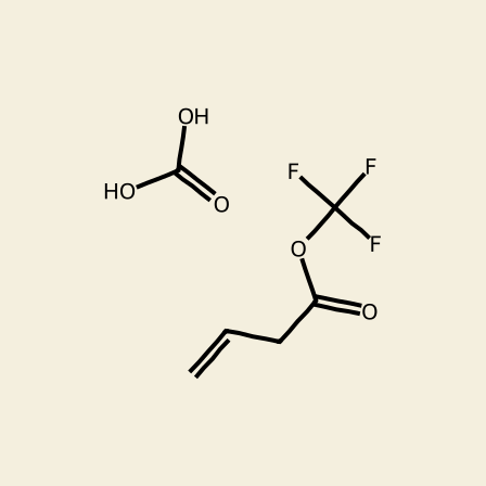 C=CCC(=O)OC(F)(F)F.O=C(O)O